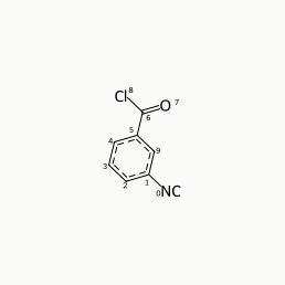 [C-]#[N+]c1cccc(C(=O)Cl)c1